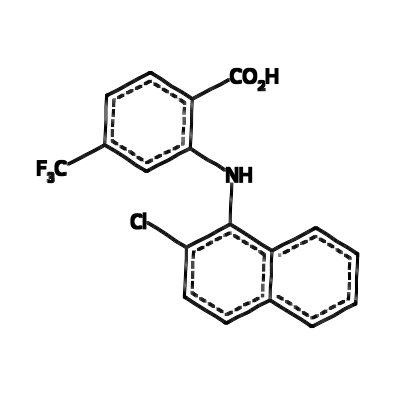 O=C(O)c1ccc(C(F)(F)F)cc1Nc1c(Cl)ccc2ccccc12